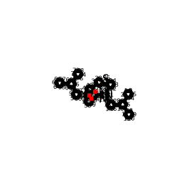 c1ccc(-c2cc(-c3ccccc3)cc(-c3cccc(-c4nc(-c5ccccc5)nc(-c5cccc6sc7ccc(-c8ccc9c(c8)c8ccccc8n9-c8cccc(-c9cc(-c%10ccccc%10)cc(-c%10ccccc%10)c9)c8)cc7c56)n4)c3)c2)cc1